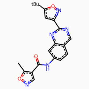 Cc1oncc1C(=O)Nc1ccc2cnc(-c3cc(C(C)(C)C)on3)nc2c1